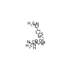 Cn1cc(-c2ccc3nc(Cc4nnc(CC(=O)NC(C)(C)C#N)o4)sc3c2)cn1